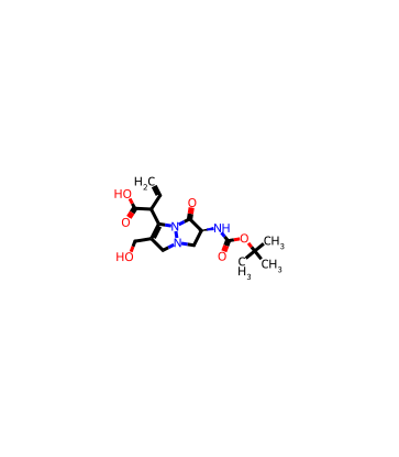 C=CC(C(=O)O)C1=C(CO)CN2C[C@H](NC(=O)OC(C)(C)C)C(=O)N12